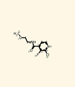 COCCNC(=O)c1ccnc(Cl)c1F